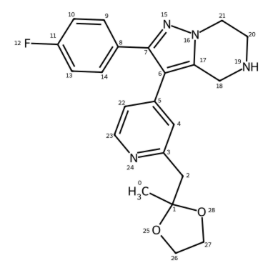 CC1(Cc2cc(-c3c(-c4ccc(F)cc4)nn4c3CNCC4)ccn2)OCCO1